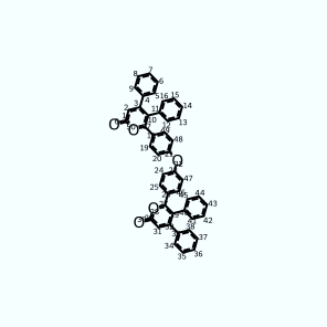 O=c1cc(-c2ccccc2)c(-c2ccccc2)c(-c2ccc(Oc3ccc(-c4oc(=O)cc(-c5ccccc5)c4-c4ccccc4)cc3)cc2)o1